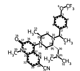 CC(c1ccc(OC(F)(F)F)cc1)N1C[C@H](C)N(c2cc(=O)n(C)c3ccc(C#N)nc23)C[C@H]1CN(C)C